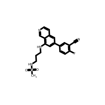 CS(=O)(=O)NCCCNc1cc(-c2ccc(F)c(C#N)c2)cc2ccncc12